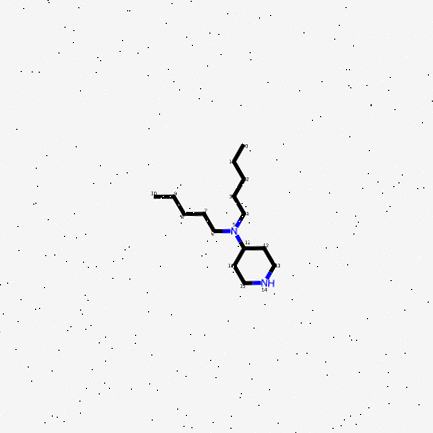 CCCCCN(CCCCC)C1CCNCC1